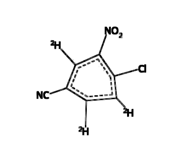 [2H]c1c([2H])c(C#N)c([2H])c([N+](=O)[O-])c1Cl